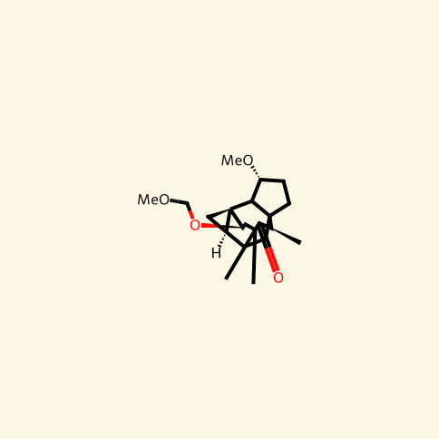 COCO[C@@H]1CC(C)(C)C(=O)[C@H](C)C23CC[C@H]4C[C@]41C2[C@H](OC)CC3